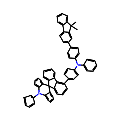 CC1(C)c2ccccc2-c2ccc(-c3ccc(N(c4ccccc4)c4ccc(-c5cccc6c5-c5ccccc5C65c6ccccc6N(c6ccccc6)c6ccccc65)cc4)cc3)cc21